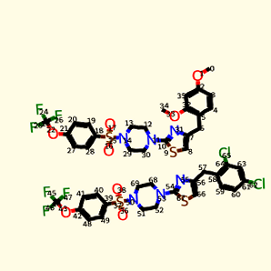 COc1ccc(Cc2csc(N3CCN(S(=O)(=O)c4ccc(OC(F)(F)F)cc4)CC3)n2)c(OC)c1.O=S(=O)(c1ccc(OC(F)(F)F)cc1)N1CCN(c2nc(Cc3ccc(Cl)cc3Cl)cs2)CC1